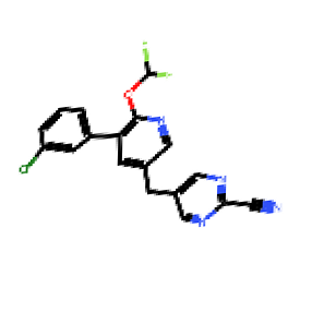 N#Cc1ncc(Cc2cnc(OC(F)F)c(-c3cccc(Cl)c3)c2)cn1